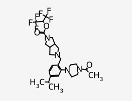 CC(=O)N1CCN(c2cc(C(C)C)ccc2CN2CC3CN(C(=O)OC(C(F)(F)F)C(F)(F)F)CC3C2)CC1